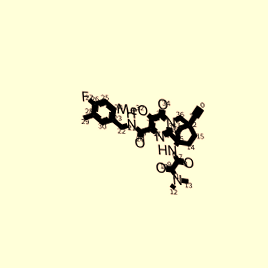 C#CC12CCC(NC(=O)C(=O)N(C)C)(CC1)c1nc(C(=O)NCc3ccc(F)c(C)c3)c(OC)c(=O)n1C2